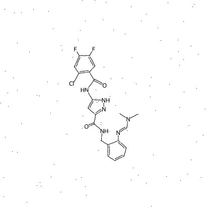 CN(C)C=Nc1ccccc1CNC(=O)c1cc(NC(=O)c2cc(F)c(F)cc2Cl)[nH]n1